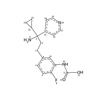 NC(CCc1ccc(F)c(NC(=O)O)c1)(c1ccncc1)C1CC1